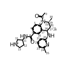 CC(=O)N1c2ccc(C(=O)NC3CCNC3)cc2C(Nc2cccc(C)n2)[C@@H](C)[C@@H]1C